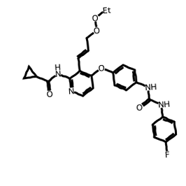 CCOOC/C=C/c1c(Oc2ccc(NC(=O)Nc3ccc(F)cc3)cc2)ccnc1NC(=O)C1CC1